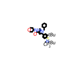 Cc1c(C(=O)NC2CCOCC2)cc(-c2ccc(SN(CC(F)(F)F)C(C)(C)C)c(C(C)(C)C)c2)n1CC1CCCCC1